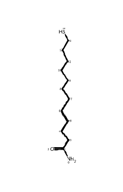 NC(=O)CCCCCCCCCCCS